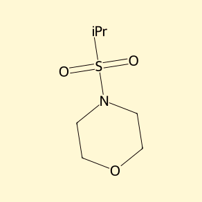 CC(C)S(=O)(=O)N1CCOCC1